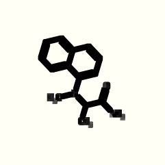 CC(C(N)=O)N(C)c1cccc2ccccc12